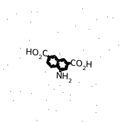 Nc1cc(C(=O)O)cc2cc(C(=O)O)ccc12